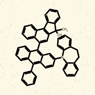 CC1(C)c2ccccc2-c2c1cc(-c1c3ccccc3c(-c3ccccc3)c3ccc(N4c5ccccc5CCc5ccccc54)cc13)c1ccccc21